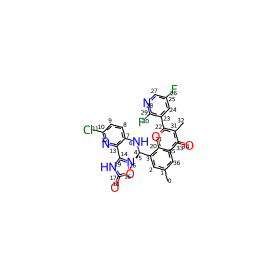 Cc1cc([C@@H](C)Nc2ccc(Cl)nc2-c2noc(=O)[nH]2)c2oc(-c3cc(F)cnc3F)c(C)c(=O)c2c1